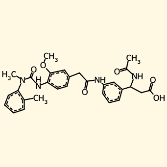 COc1cc(CC(=O)Nc2cccc(C(CC(=O)O)NC(C)=O)c2)ccc1NC(=O)N(C)c1ccccc1C